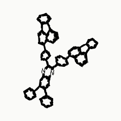 c1ccc(-c2cc3nc(-c4ccc(-c5ccc6c7c(cccc57)-c5ccccc5-6)cc4)c(-c4ccc(-c5ccc6c7c(cccc57)-c5ccccc5-6)cc4)nc3cc2-c2ccccc2)cc1